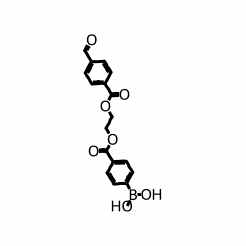 O=Cc1ccc(C(=O)OCCOC(=O)c2ccc(B(O)O)cc2)cc1